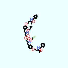 Cc1oc(-c2ccccc2)nc1CCOc1ccc(CC(CC(=O)OC(=O)CC(Cc2ccc(OCCc3nc(-c4ccccc4)oc3C)cc2)=NOCC2CC2)=NOCCF)cc1